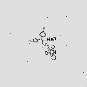 Cl.Cl.O=c1nc2n(c(=O)n1CCN1CCC(=C(c3ccc(F)cc3)c3ccc(F)cc3)CC1)CCCC2